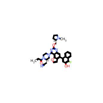 C=CC(=O)N1CCN(c2nc(OC[C@@H]3CCCN3C)nc3cc(-c4cc(O)c(F)c5ccccc45)c4ccoc4c23)C[C@@H]1CC#N